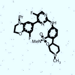 CNS(=O)(=O)c1cc(Nc2ncc(F)c(-c3cc(F)c4c(c3)N(C(C)C)CCO4)n2)ccc1C1CCN(C)CC1